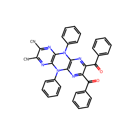 [C-]#[N+]c1nc2c(nc1[N+]#[C-])N(c1ccccc1)c1nc(C(=O)c3ccccc3)c(C(=O)c3ccccc3)nc1N2c1ccccc1